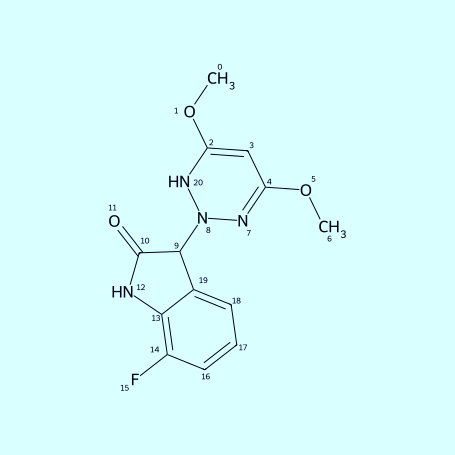 COC1=CC(OC)=NN(C2C(=O)Nc3c(F)cccc32)N1